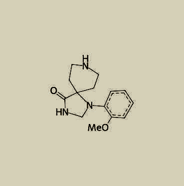 COc1ccccc1N1CNC(=O)C12CCNCC2